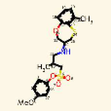 COc1ccc(OS(=O)(=O)CC(C)CNC2COc3cccc(C)c3SC2)cc1